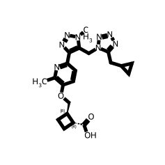 Cc1nc(-c2nnn(C)c2Cn2nnnc2CC2CC2)ccc1OC[C@@H]1CC[C@H]1C(=O)O